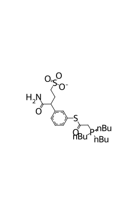 CCCC[P+](CCCC)(CCCC)CC(=O)Sc1cccc(C(CCS(=O)(=O)[O-])C(N)=O)c1